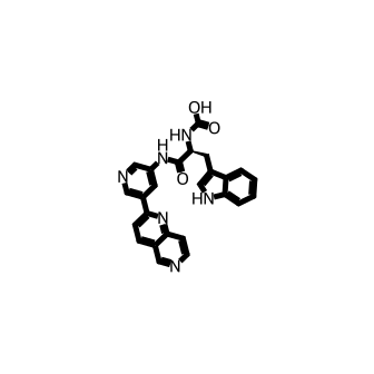 O=C(O)N[C@@H](Cc1c[nH]c2ccccc12)C(=O)Nc1cncc(-c2ccc3cnccc3n2)c1